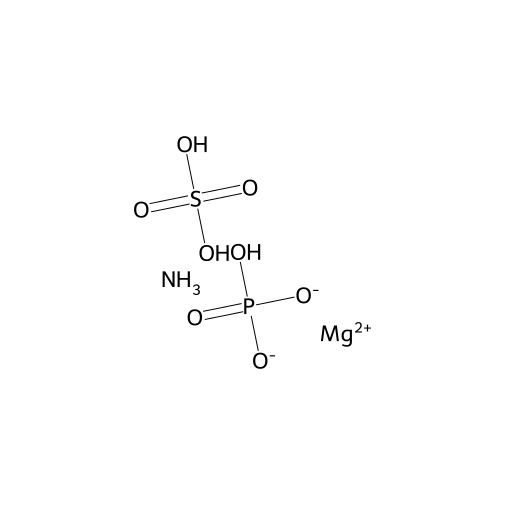 N.O=P([O-])([O-])O.O=S(=O)(O)O.[Mg+2]